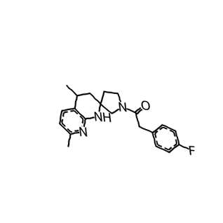 Cc1ccc2c(n1)NC1(CCN(C(=O)Cc3ccc(F)cc3)C1)CC2C